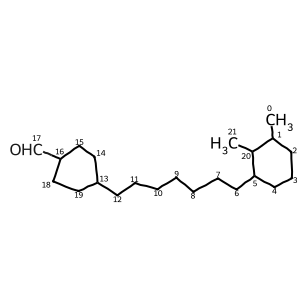 CC1CCCC(CCCCCCCC2CCC(C=O)CC2)C1C